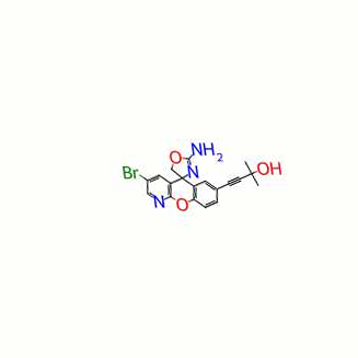 CC(C)(O)C#Cc1ccc2c(c1)C1(COC(N)=N1)c1cc(Br)cnc1O2